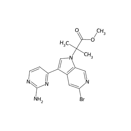 COC(=O)C(C)(C)n1cc(-c2ccnc(N)n2)c2cc(Br)ncc21